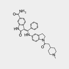 CN1CCC(CC(=O)N2CCc3cc(N/C(=C4\C(=O)Nc5cc(C(N)=O)ccc54)c4ccccc4)ccc32)CC1